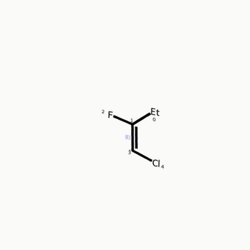 CC/C(F)=[C]\Cl